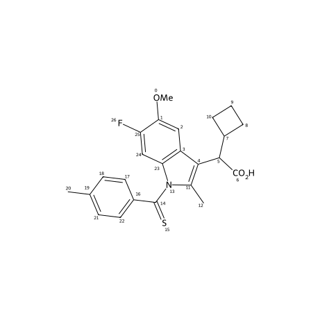 COc1cc2c(C(C(=O)O)C3CCC3)c(C)n(C(=S)c3ccc(C)cc3)c2cc1F